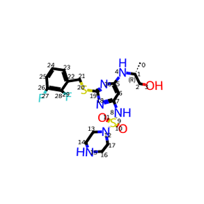 C[C@H](CO)Nc1cc(NS(=O)(=O)N2CCNCC2)nc(SCc2cccc(F)c2F)n1